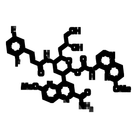 COc1ccc2nccc(NC(=O)O[C@@H]3O[C@H](C[C@@H](O)CO)[C@H](NC(=O)/C=C/c4cc(F)ccc4F)CC3c3cc(C(N)=O)nc4ccc(OC)nc34)c2n1